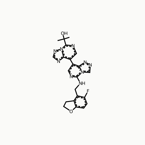 CC(C)(O)c1ncc(-c2cnc(NCc3c(F)ccc4c3CCO4)n3cnnc23)c2ncnn12